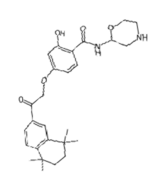 CC1(C)CCC(C)(C)c2cc(C(=O)COc3ccc(C(=O)NC4CNCCO4)c(O)c3)ccc21